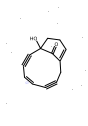 O=C1C2=CCCC1(O)C#C/C=C\C#CC2